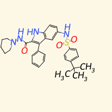 CC(C)(C)c1ccc(S(=O)(=O)Nc2ccc3[nH]c(C(=O)NN4CCCCC4)c(-c4ccccc4)c3c2)cc1